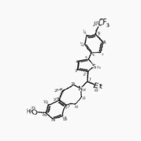 CCC(c1ccc(-c2ccc(C(F)(F)F)cc2)s1)N1CCc2ccc(O)cc2CC1